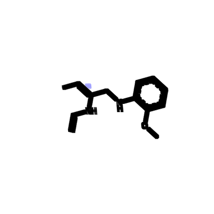 C=CN/C(=C\C)CNc1ccccc1OC